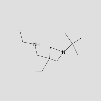 CCNCC1(CC)CN(C(C)(C)C)C1